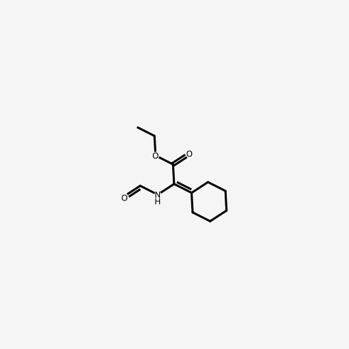 CCOC(=O)C(NC=O)=C1CCCCC1